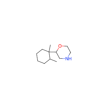 CC1CCCCC1(C)C1CNCCO1